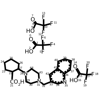 O=C(O)C(F)(F)F.O=C(O)C(F)(F)F.O=C(O)C(F)(F)F.O=C(O)C1CCCCC1N1CCN(Cc2cnc3ccccc3c2)CC1